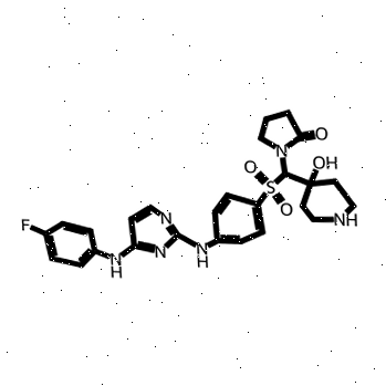 O=C1CCCN1C(C1(O)CCNCC1)S(=O)(=O)c1ccc(Nc2nccc(Nc3ccc(F)cc3)n2)cc1